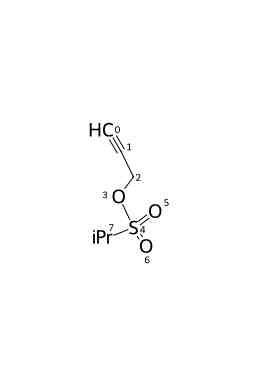 C#CCOS(=O)(=O)C(C)C